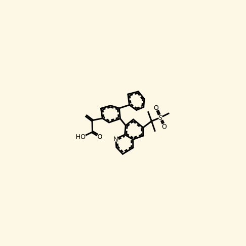 C=C(C(=O)O)c1ccc(-c2ccccc2)c(-c2cc(C(C)(C)S(C)(=O)=O)cc3cccnc23)c1